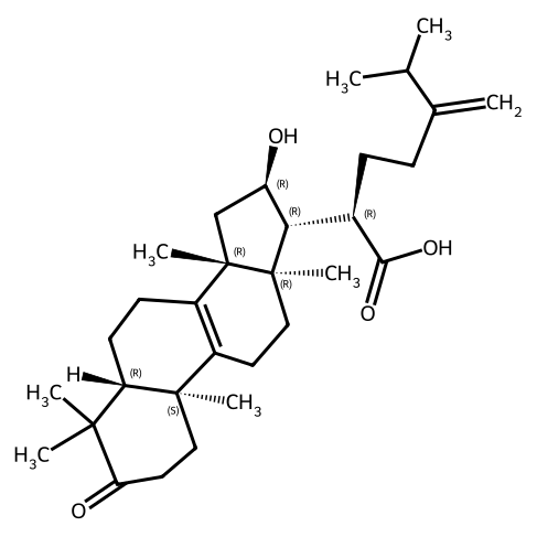 C=C(CC[C@@H](C(=O)O)[C@H]1[C@H](O)C[C@@]2(C)C3=C(CC[C@]12C)[C@@]1(C)CCC(=O)C(C)(C)[C@@H]1CC3)C(C)C